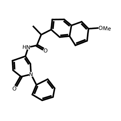 COc1ccc2cc(C(C)C(=O)Nc3ccc(=O)n(-c4ccccc4)c3)ccc2c1